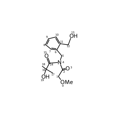 COCC(=O)N(Cc1ccccc1CO)C(=O)C(C)(C)O